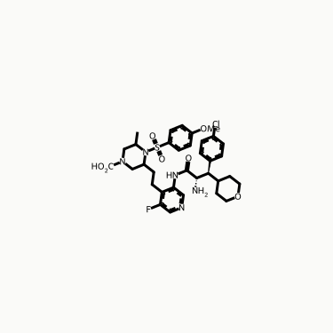 COc1ccc(S(=O)(=O)N2C(C)CN(C(=O)O)CC2CCc2c(F)cncc2NC(=O)[C@@H](N)[C@@H](c2ccc(Cl)cc2)C2CCOCC2)cc1